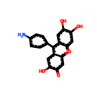 Nc1ccc(-c2c3cc(O)c(=O)cc-3oc3cc(O)c(O)cc23)cc1